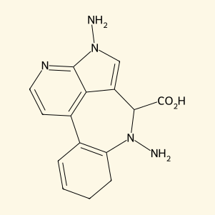 NN1C2=C(C=CCC2)c2ccnc3c2c(cn3N)C1C(=O)O